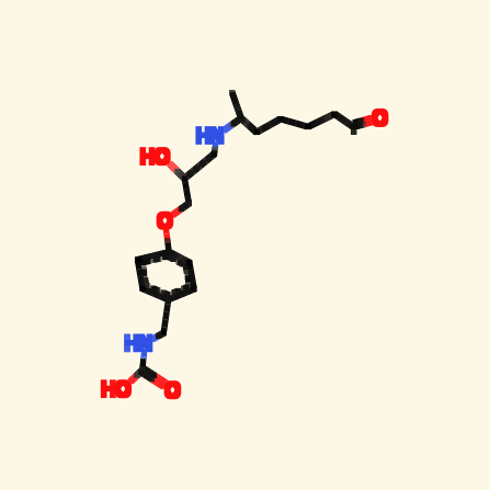 CC(CCCC[C]=O)NCC(O)COc1ccc(CNC(=O)O)cc1